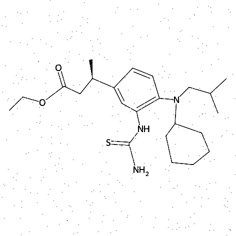 CCOC(=O)C[C@@H](C)c1ccc(N(CC(C)C)C2CCCCC2)c(NC(N)=S)c1